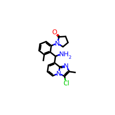 Cc1cccc(N2CCCC2=O)c1C(N)c1cccn2c(Cl)c(C)nc12